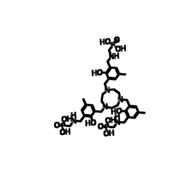 Cc1cc(CNCP(=O)(O)O)c(O)c(CN2CCN(Cc3cc(C)cc(CNCP(=O)(O)O)c3O)CCN(Cc3cc(C)cc(CNCP(=O)(O)O)c3O)CC2)c1